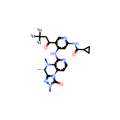 [2H]C([2H])([2H])CC(=O)c1cnc(NC(=O)C2CC2)cc1Nc1nccc2c1N(C)[C@@H](C)c1nn(C)c(=O)n1-2